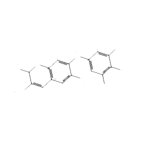 Cc1c(Cl)cc(Oc2cc3c(cc2Cl)C=C(C(=O)O)C(C(F)(F)F)O3)cc1Cl